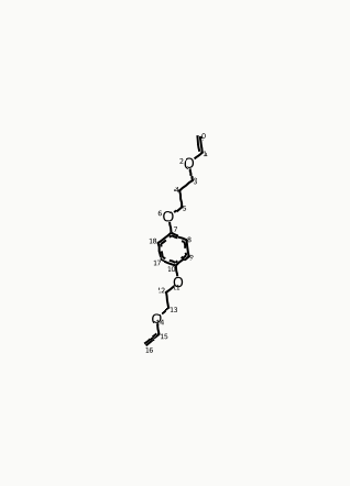 C=COCCCOc1ccc(OCCOC=C)cc1